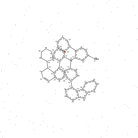 CC(C)(C)c1ccc(-c2ccccc2)c(N(c2ccc(-c3cccc4oc5ccccc5c34)cc2)c2ccccc2-c2cccc3c2C(C2CCCCC2)CC=C3)c1